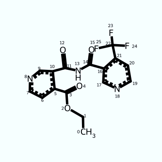 CCOC(=O)c1ccncc1C(=O)NC(=O)c1cnccc1C(F)(F)F